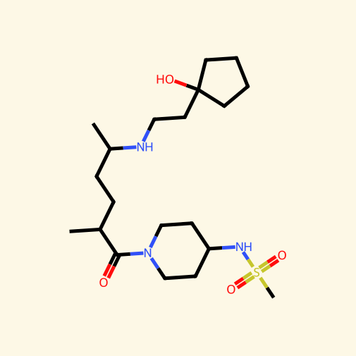 CC(CCC(C)C(=O)N1CCC(NS(C)(=O)=O)CC1)NCCC1(O)CCCC1